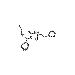 C=C(NC(=O)CCc1ccccc1)SC(=C=CCCC)c1ccncc1